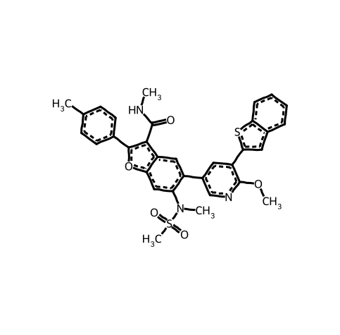 CNC(=O)c1c(-c2ccc(C)cc2)oc2cc(N(C)S(C)(=O)=O)c(-c3cnc(OC)c(-c4cc5ccccc5s4)c3)cc12